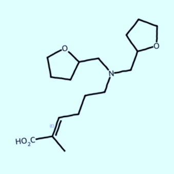 C/C(=C\CCCN(CC1CCCO1)CC1CCCO1)C(=O)O